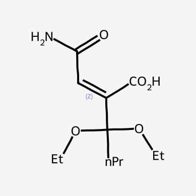 CCCC(OCC)(OCC)/C(=C/C(N)=O)C(=O)O